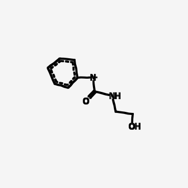 O=C([N]c1ccccc1)NCCO